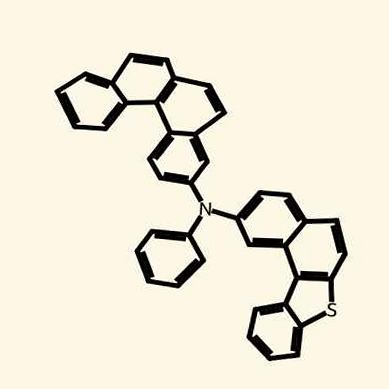 c1ccc(N(c2ccc3c(ccc4ccc5ccccc5c43)c2)c2ccc3ccc4sc5ccccc5c4c3c2)cc1